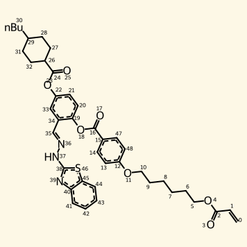 C=CC(=O)OCCCCCCOc1ccc(C(=O)Oc2ccc(OC(=O)C3CCC(CCCC)CC3)cc2C=NNc2nc3ccccc3s2)cc1